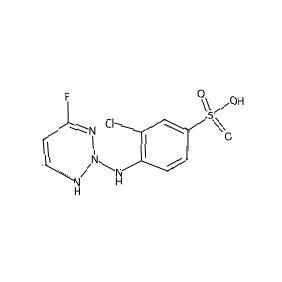 O=S(=O)(O)c1ccc(NN2N=C(F)C=[C]N2)c(Cl)c1